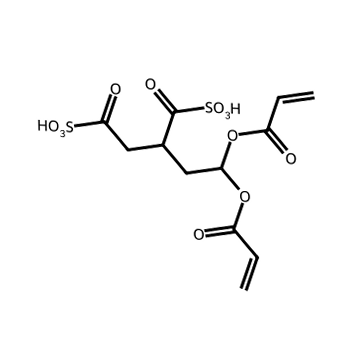 C=CC(=O)OC(CC(CC(=O)S(=O)(=O)O)C(=O)S(=O)(=O)O)OC(=O)C=C